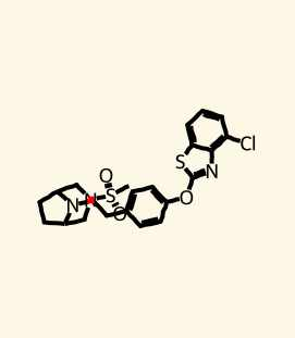 CS(=O)(=O)N1CC2CCC(C1)N2CCc1ccc(Oc2nc3c(Cl)cccc3s2)cc1